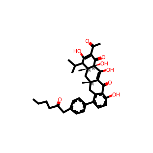 CCCCC(=O)Cc1ccc(-c2ccc(O)c3c2C[C@]2(C)C[C@]4(C)C(C(C)C)C(O)=C(C(C)=O)C(=O)[C@]4(O)C(O)=C2C3=O)cc1